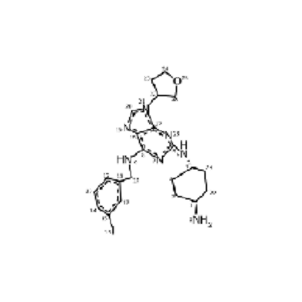 N[C@H]1CC[C@H](Nc2nc(NCc3cccc(I)c3)c3ncn(C4CCOC4)c3n2)CC1